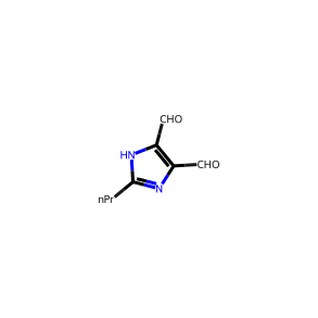 CCCc1nc(C=O)c(C=O)[nH]1